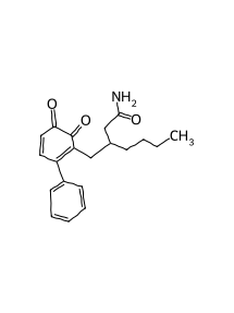 CCCCC(CC(N)=O)CC1=C(c2ccccc2)C=CC(=O)C1=O